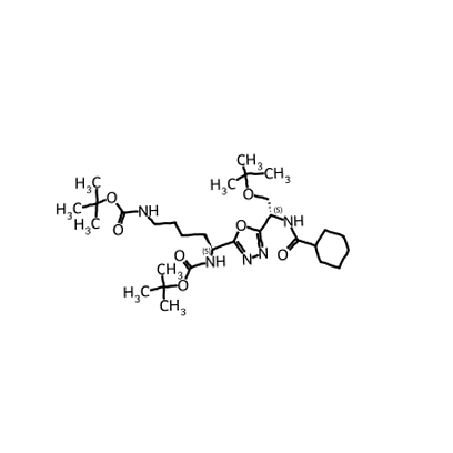 CC(C)(C)OC[C@H](NC(=O)C1CCCCC1)c1nnc([C@H](CCCCNC(=O)OC(C)(C)C)NC(=O)OC(C)(C)C)o1